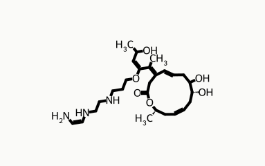 CC(/C(=C\C(C)O)OCCCNCCN/C=C\N)=C1\C=C\CC(O)[C@H](O)C/C=C\C[C@H](C)OC(=O)C1